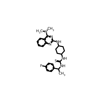 CC(NC(=S)NC1CCC(Nc2nc(N(C)C)c3ccccc3n2)CC1)c1ccc(F)cc1